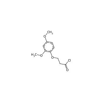 COc1ccc(OCCC(=O)Cl)c(OC)c1